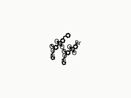 COc1cc(N2C(=O)c3ccc(Br)cc3C2=O)ccc1OCCN1CCCC1.COc1cc(N2C(=O)c3ccc(Cc4ccccc4)cc3C2=O)ccc1OCCN1CCCC1